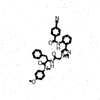 COc1ccc(N(C)C(=O)C(Cc2ccccc2)NC(=O)Cn2cc(-c3ccccc3NC(=O)c3ccc(C#N)cc3)nn2)cc1